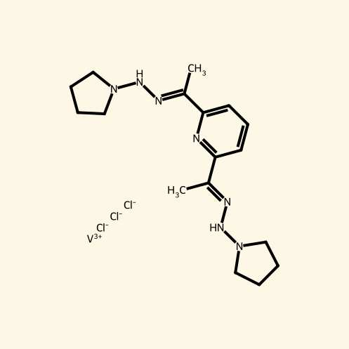 CC(=NNN1CCCC1)c1cccc(C(C)=NNN2CCCC2)n1.[Cl-].[Cl-].[Cl-].[V+3]